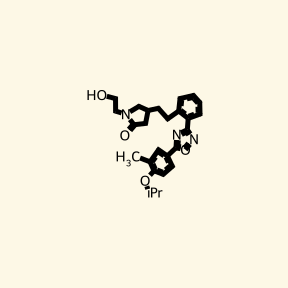 Cc1cc(-c2nc(-c3ccccc3CCC3CC(=O)N(CCO)C3)no2)ccc1OC(C)C